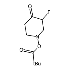 CC(C)(C)C(=O)ON1CCC(=O)C(F)C1